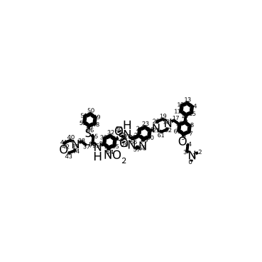 CN(C)CCOc1ccc(-c2ccccc2)c(CN2CCN(c3ccc4c(NS(=O)(=O)c5ccc(N[C@H](CCN6CCOCC6)CSc6ccccc6)c([N+](=O)[O-])c5)ncnc4c3)CC2)c1